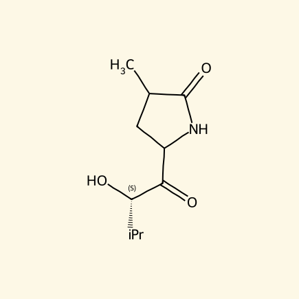 CC1CC(C(=O)[C@@H](O)C(C)C)NC1=O